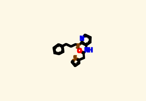 O=C(Cc1cccs1)Nc1cccnc1SCCCc1ccccc1